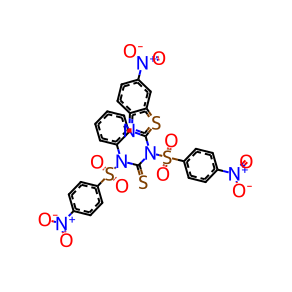 O=[N+]([O-])c1ccc(S(=O)(=O)N(C(=S)N(c2nc3ccc([N+](=O)[O-])cc3s2)S(=O)(=O)c2ccc([N+](=O)[O-])cc2)c2ccccc2)cc1